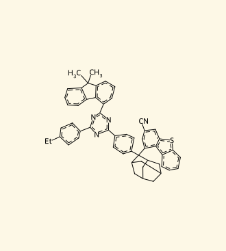 CCc1ccc(-c2nc(-c3ccc(C4(c5cc(C#N)cc6sc7ccccc7c56)C5CC6CC(C5)CC4C6)cc3)nc(-c3cccc4c3-c3ccccc3C4(C)C)n2)cc1